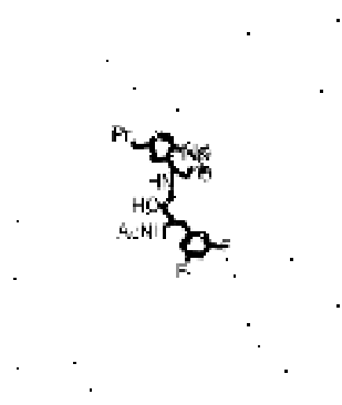 CC(=O)NC(Cc1cc(F)cc(F)c1)C(O)CNC1CS(=O)(=O)Nc2ccc(CC(C)C)cc21